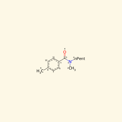 CCCCCN(C)C(=O)c1ccc(C)cc1